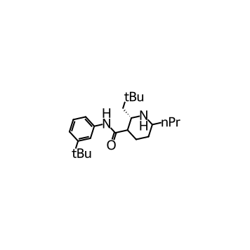 CCCC1CCC(C(=O)Nc2cccc(C(C)(C)C)c2)[C@H](CC(C)(C)C)N1